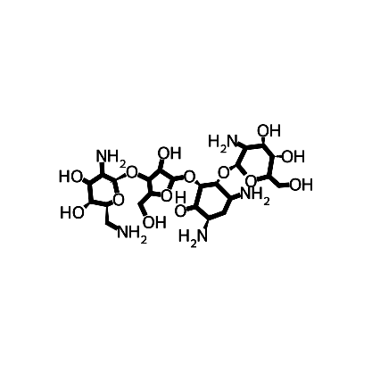 NC[C@@H]1O[C@H](OC2C(CO)OC(O[C@@H]3C(O)[C@H](N)CC(N)[C@H]3O[C@@H]3OC(CO)[C@@H](O)[C@H](O)C3N)C2O)C(N)C(O)[C@@H]1O